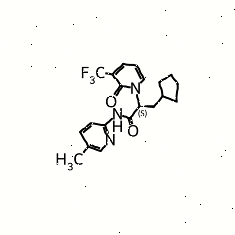 Cc1ccc(NC(=O)[C@H](CC2CCCC2)n2cccc(C(F)(F)F)c2=O)nc1